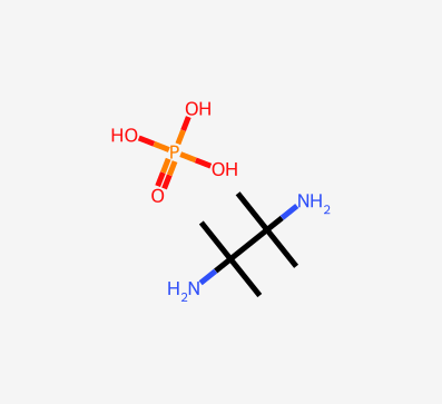 CC(C)(N)C(C)(C)N.O=P(O)(O)O